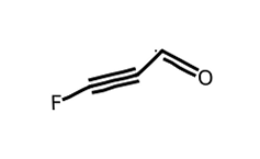 O=[C]C#CF